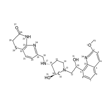 COc1ccc2cccc(C(O)CN3CC[C@@H](NCc4ccc5c(n4)NC(=O)CS5)[C@H](O)C3)c2n1